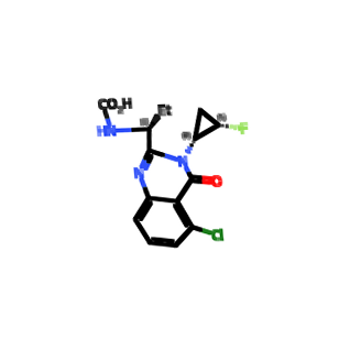 CC[C@H](NC(=O)O)c1nc2cccc(Cl)c2c(=O)n1[C@@H]1C[C@@H]1F